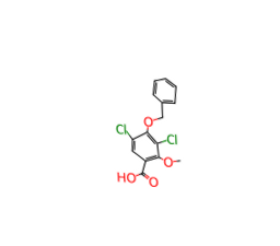 COc1c(C(=O)O)cc(Cl)c(OCc2ccccc2)c1Cl